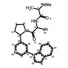 CNC(C)C(=O)NC(C(=O)N1CCCC1c1cncc(-n2ccc3ccccc32)c1)C(C)C